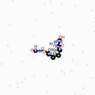 COc1nc(-c2cccc(-c3cccc(-c4ccn5c(=O)c(C6=NCC(O)CN6)c(C)nc5c4)c3Cl)c2Cl)ccc1COC(=O)NC[C@@H]1CCC(=O)N1